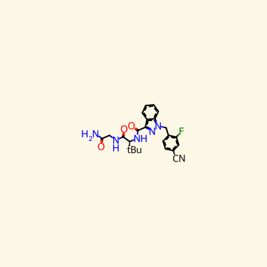 CC(C)(C)[C@H](NC(=O)c1nn(Cc2ccc(C#N)cc2F)c2ccccc12)C(=O)NCC(N)=O